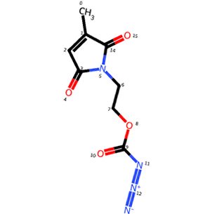 CC1=CC(=O)N(CCOC(=O)N=[N+]=[N-])C1=O